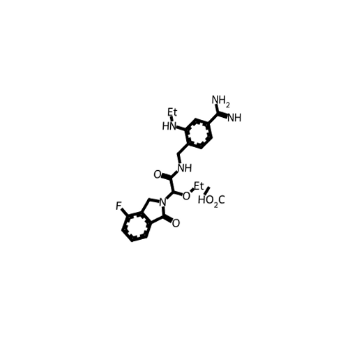 CC(=O)O.CCNc1cc(C(=N)N)ccc1CNC(=O)C(OCC)N1Cc2c(F)cccc2C1=O